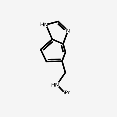 CC(C)NCc1ccc2[nH]cnc2c1